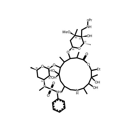 CCCNC[C@]1(O)[C@H](C)O[C@@H](OC2C(C)C(=O)OC(CC)C(C)(O)C(O)C(C)NCC(C)CC(C)(O)C(O[C@@H]3O[C@H](C)C[C@H](N(C)S(=O)(=O)Nc4ccccc4)[C@H]3O)C2C)C[C@@]1(C)OC